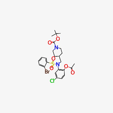 CC(=O)Oc1ccc(Cl)cc1N(CC1CCN(C(=O)OC(C)(C)C)CC1)S(=O)(=O)c1ccccc1Br